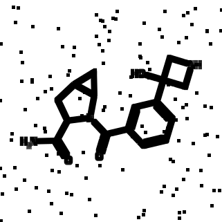 NC(=O)C1CC2CC2N1C(=O)c1cccc(C2(O)CNC2)c1